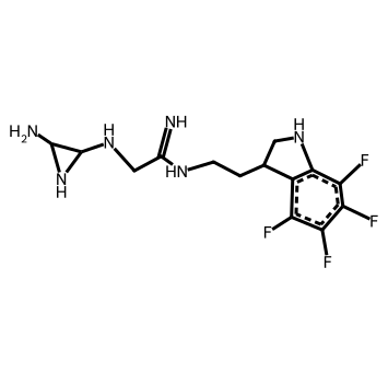 N=C(CNC1NC1N)NCCC1CNc2c(F)c(F)c(F)c(F)c21